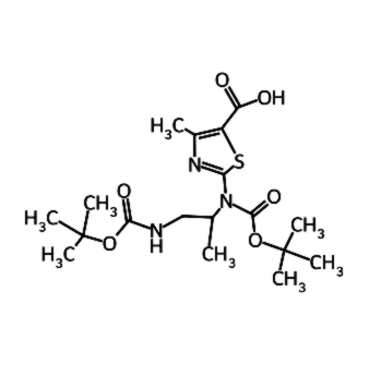 Cc1nc(N(C(=O)OC(C)(C)C)C(C)CNC(=O)OC(C)(C)C)sc1C(=O)O